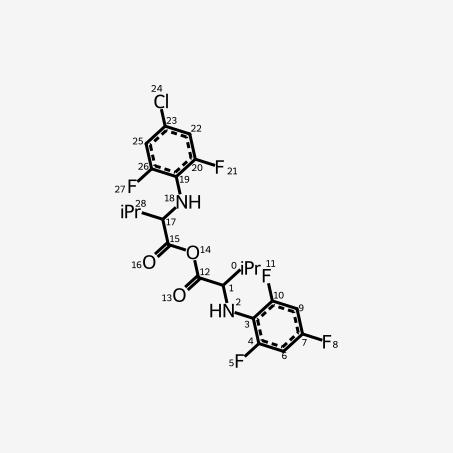 CC(C)C(Nc1c(F)cc(F)cc1F)C(=O)OC(=O)C(Nc1c(F)cc(Cl)cc1F)C(C)C